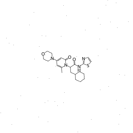 Cc1cc(N2CCOCC2)cc(=O)n1C(CC1CCCCC1)C(=O)Nc1nccs1